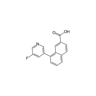 O=C(O)c1ccc2cccc(-c3cncc(F)c3)c2c1